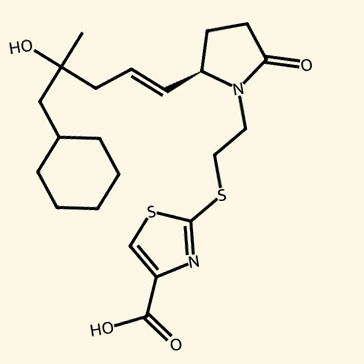 CC(O)(CC=C[C@H]1CCC(=O)N1CCSc1nc(C(=O)O)cs1)CC1CCCCC1